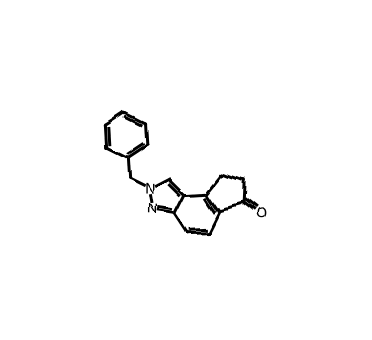 O=C1CCc2c1ccc1nn(Cc3ccccc3)cc21